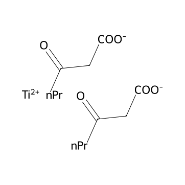 CCCC(=O)CC(=O)[O-].CCCC(=O)CC(=O)[O-].[Ti+2]